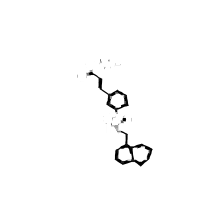 COC(=O)/C=C/c1cccc(S(=O)(=O)NCc2cccc3ccccc23)c1